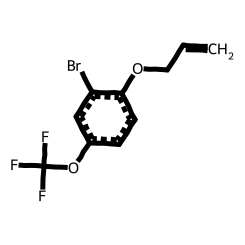 C=CCOc1ccc(OC(F)(F)F)cc1Br